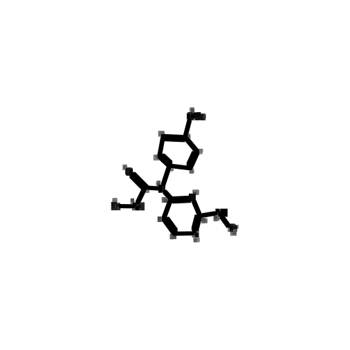 CCNC(=O)N(c1ccc(OC)cc1)c1ccnc(NC(C)C)n1